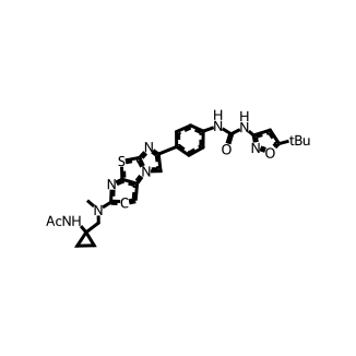 CC(=O)NC1(CN(C)c2ccc3c(n2)sc2nc(-c4ccc(NC(=O)Nc5cc(C(C)(C)C)on5)cc4)cn23)CC1